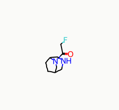 O=C(CF)N1CC2CCC1CNC2